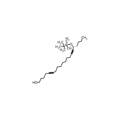 CCCC[C@H](C#CCCCCCCCC#CCCCCO)O[Si](C)(C)C(C)(C)C